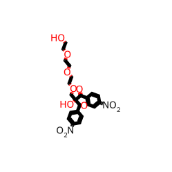 O=C(c1ccc([N+](=O)[O-])cc1)C(O)(COCCOCCOCCO)C(=O)c1ccc([N+](=O)[O-])cc1